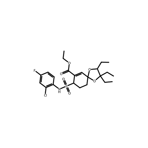 CCOC(=O)C1=CC2(CCC1S(=O)(=O)Nc1ccc(F)cc1Cl)OC(CC)C(CC)(CC)O2